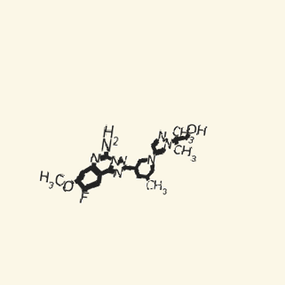 COc1cc2nc(N)n3nc(C4CC(C)CN(c5cnn(C(C)(C)CO)c5)C4)nc3c2cc1F